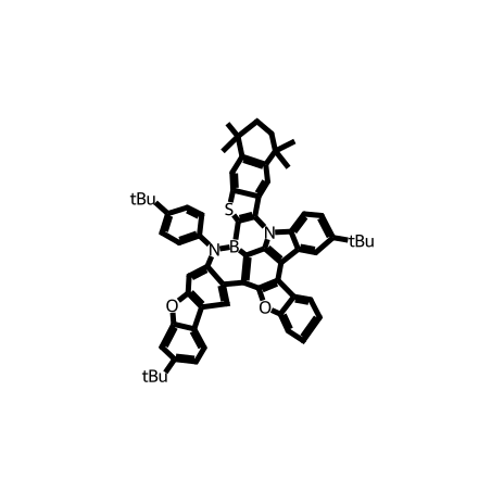 CC(C)(C)c1ccc(N2B3c4sc5cc6c(cc5c4-n4c5ccc(C(C)(C)C)cc5c5c7c(oc8ccccc87)c(c3c54)-c3cc4c(cc32)oc2cc(C(C)(C)C)ccc24)C(C)(C)CCC6(C)C)cc1